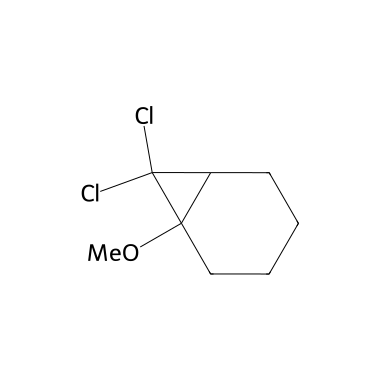 COC12CCCCC1C2(Cl)Cl